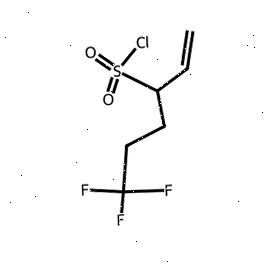 C=CC(CCC(F)(F)F)S(=O)(=O)Cl